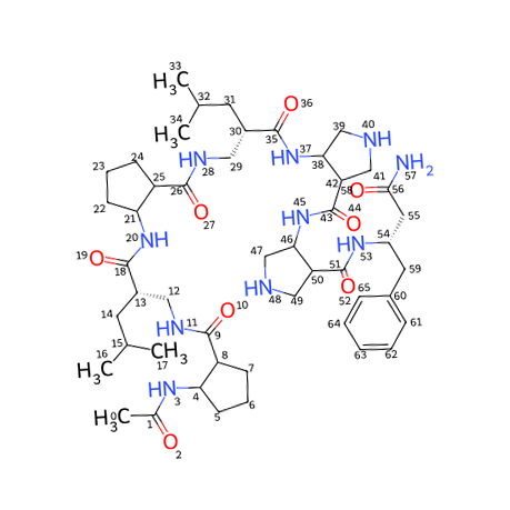 CC(=O)NC1CCCC1C(=O)NC[C@H](CC(C)C)C(=O)NC1CCCC1C(=O)NC[C@H](CC(C)C)C(=O)NC1CNCC1C(=O)NC1CNCC1C(=O)N[C@H](CC(N)=O)Cc1ccccc1